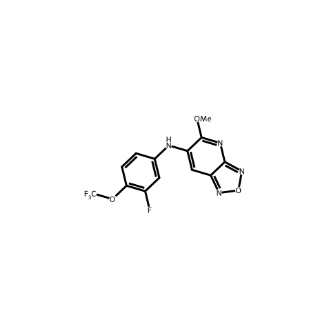 COc1nc2nonc2cc1Nc1ccc(OC(F)(F)F)c(F)c1